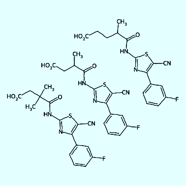 CC(C)(CC(=O)O)C(=O)Nc1nc(-c2cccc(F)c2)c(C#N)s1.CC(CC(=O)O)C(=O)Nc1nc(-c2cccc(F)c2)c(C#N)s1.CC(CCC(=O)O)C(=O)Nc1nc(-c2cccc(F)c2)c(C#N)s1